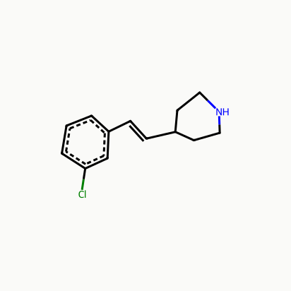 Clc1cccc(C=CC2CCNCC2)c1